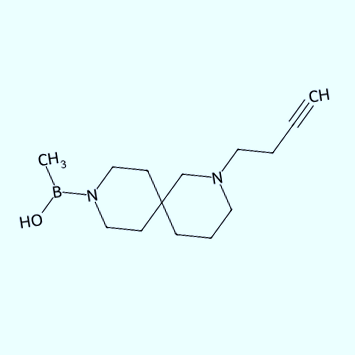 C#CCCN1CCCC2(CCN(B(C)O)CC2)C1